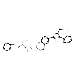 O=C(O)c1sc(-c2ccc3c(c2)CC[C@H](CNC[C@H](O)COc2ccccc2)O3)nc1-c1ccccc1